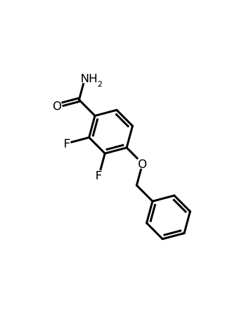 NC(=O)c1ccc(OCc2ccccc2)c(F)c1F